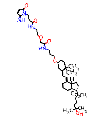 C[C@H](CCCC(C)(C)O)[C@H]1CC[C@H]2/C(=C/C=C3/C[C@@H](OCCCNC(=O)COCCNC(=O)CCN4C(=N)C=CC4=O)CCC3(C)C)CCC[C@]12C